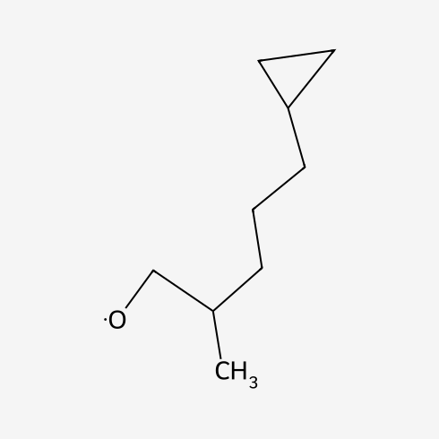 CC(C[O])CCCC1CC1